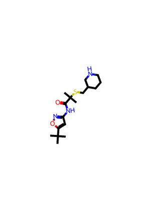 CC(C)(SCC1CCCNC1)C(=O)Nc1cc(C(C)(C)C)on1